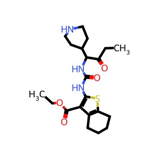 CCOC(=O)c1c(NC(=O)NC(C(=O)CC)C2CCNCC2)sc2c1CCCC2